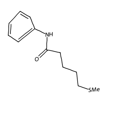 CSCCCCC(=O)Nc1ccccc1